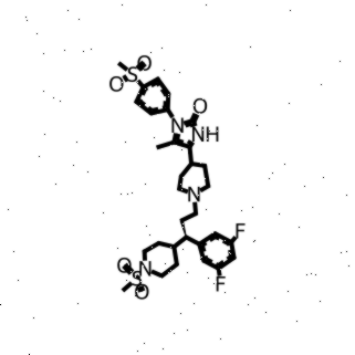 Cc1c(C2CCN(CC[C@@H](c3cc(F)cc(F)c3)C3CCN(S(C)(=O)=O)CC3)CC2)[nH]c(=O)n1-c1ccc(S(C)(=O)=O)cc1